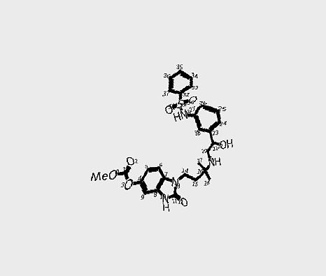 COC(=O)Oc1ccc2c(c1)[nH]c(=O)n2CCC(C)(C)NCC(O)c1cccc(NS(=O)(=O)c2ccccc2)c1